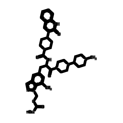 CCCCCCCCC(=O)OCn1ncc2cc(CC(NC(=O)N3CCC(c4cc5ccccc5[nH]c4=O)CC3)C(=O)N3CCN(C4CCN(C)CC4)CC3)cc(C)c21